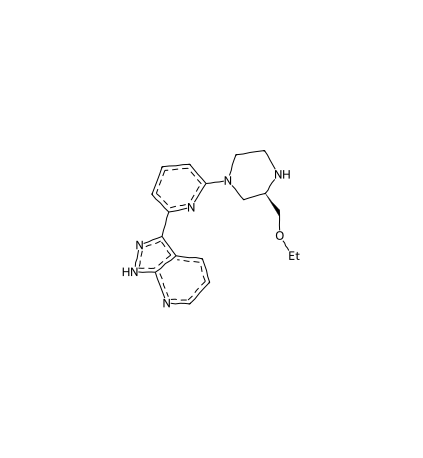 CCOC[C@H]1CN(c2cccc(-c3n[nH]c4ncccc34)n2)CCN1